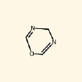 C1=NCN=CO1